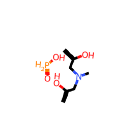 C=C(O)CN(C)CC(=C)O.O=[PH2]O